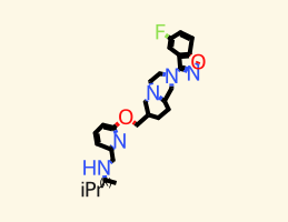 CC(C)[C@@H](C)NCc1cccc(OCC2CCC3CN(c4noc5ccc(F)cc45)CCN3C2)n1